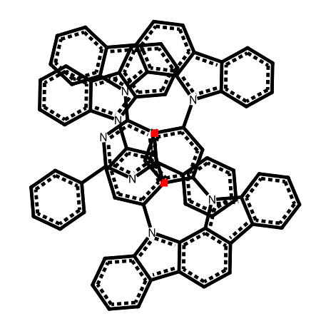 c1ccc(-c2nc(-c3ccccc3)nc(-n3c4ccccc4c4ccc5c6ccccc6n(-c6cccc(-n7c8ccccc8c8ccc9c%10ccccc%10n(-c%10ccc(-n%11c%12ccccc%12c%12ccccc%12%11)cc%10)c9c87)c6)c5c43)n2)cc1